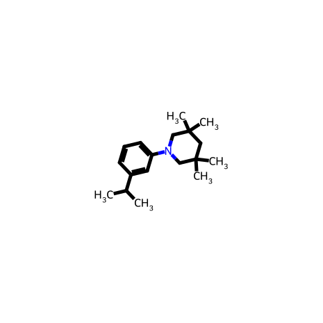 CC(C)c1cccc(N2CC(C)(C)CC(C)(C)C2)c1